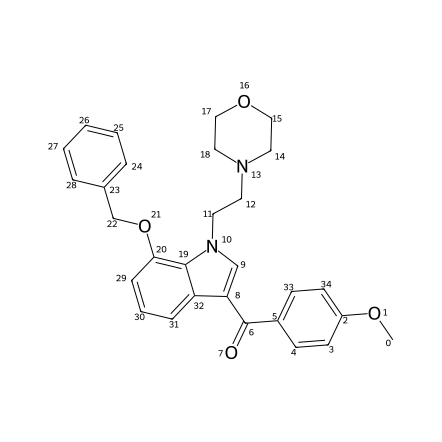 COc1ccc(C(=O)c2cn(CCN3CCOCC3)c3c(OCc4ccccc4)cccc23)cc1